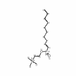 CCCCCCCCC=C[PH](=O)OCC[N+](C)(C)C